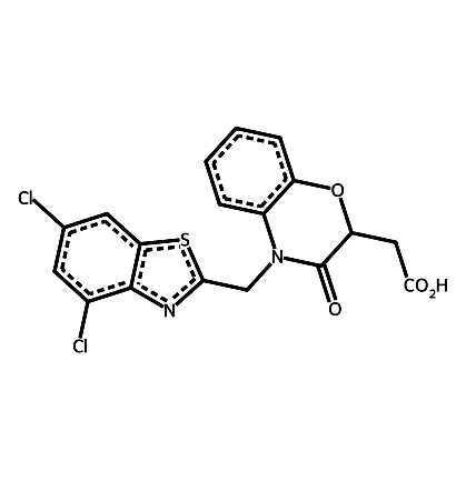 O=C(O)CC1Oc2ccccc2N(Cc2nc3c(Cl)cc(Cl)cc3s2)C1=O